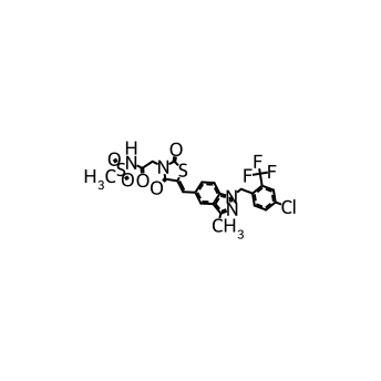 Cc1nn(Cc2ccc(Cl)cc2C(F)(F)F)c2ccc(/C=C3\SC(=O)N(CC(=O)NS(C)(=O)=O)C3=O)cc12